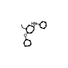 CCc1cc(Nc2ccccc2)ccc1Oc1ccccc1